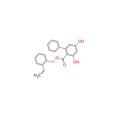 C=Cc1ccccc1COC(=O)c1c(O)cc(O)cc1-c1ccccc1